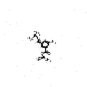 Cc1cc(C(=O)OC(C)C)cc(C(=O)OC(C)C)c1